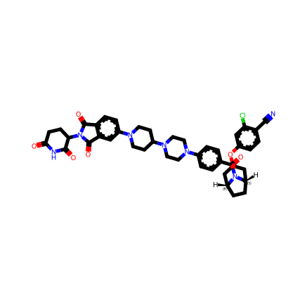 N#Cc1ccc(OC2C[C@H]3CC[C@@H](C2)N3C(=O)c2ccc(N3CCN(C4CCN(c5ccc6c(c5)C(=O)N(C5CCC(=O)NC5=O)C6=O)CC4)CC3)cc2)cc1Cl